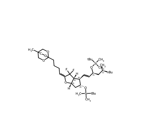 CCCC[C@H](C)C[C@@H](C=C[C@@H]1[C@@H]2[C@H](C[C@H]1O[Si](C)(C)C(C)(C)C)OC(=CCCCC13OCC(C)(CO1)CO3)C2(F)F)O[Si](C)(C)C(C)(C)C